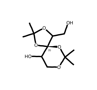 CC1(C)OCC(O)[C@]2(O1)OC(C)(C)OC2CO